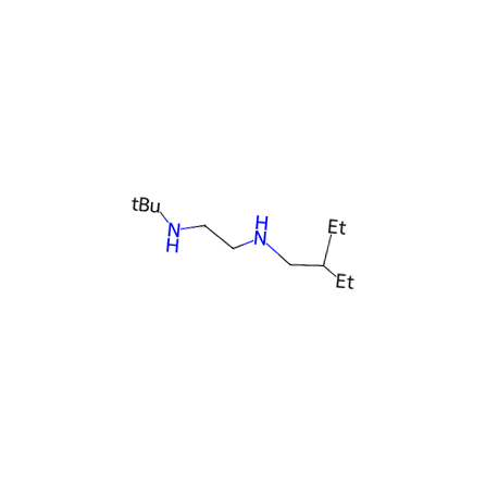 CCC(CC)CNCCNC(C)(C)C